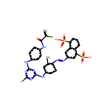 C=C(Br)C(=O)Nc1ccc(Nc2nc(Cl)nc(Nc3ccc(N=Nc4cc(S(=O)(=O)O)c5cccc(S(=O)(=O)O)c5c4)c(C)c3)n2)cc1